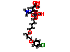 CC(CCOc1ccc(Cl)cc1)OCCCCCOP(=O)(O)O[C@H](CC(=O)O)C[N+](C)(C)C